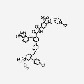 CC1(C)CCC(CN2CCN(c3ccc(C(=O)N[S+]([O-])c4ccc(NC[C@H]5CN(C6CC6)CCO5)c([N+](=O)[O-])c4)c(Oc4cccc5[nH]nnc45)c3)CC2)=C(c2ccc(Cl)cc2)C1